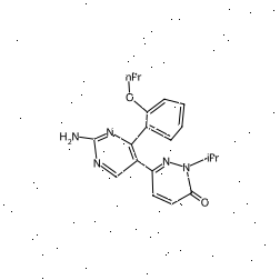 CCCOc1ccccc1-c1nc(N)ncc1-c1ccc(=O)n(C(C)C)n1